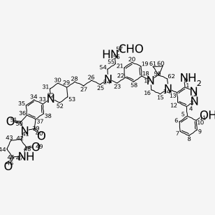 Nc1nnc(-c2ccccc2O)cc1N1CCN(c2cccc(CN(CCCCC3CCN(c4ccc5c(c4)C(=O)N(C4CCC(=O)NC4=O)C5=O)CC3)CCNC=O)c2)C2(CC2)C1